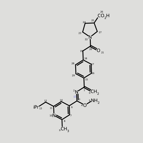 C=C(/N=C(\ON)c1cc(C)nc(CC(C)C)c1)c1ccc(CC(=O)N2CCC(C(=O)O)C2)cc1